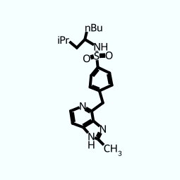 CCCCC(CC(C)C)NS(=O)(=O)c1ccc(Cc2nccc3[nH]c(C)nc23)cc1